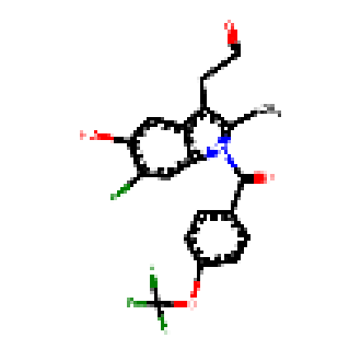 Cc1c(C[C]=O)c2cc(O)c(F)cc2n1C(=O)c1ccc(OC(F)(F)F)cc1